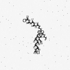 CCCCCOC(CCCC(C)CC(C)CC(C)CC(C)CC(C)Cl)OC(CCCC(C)CC(C)CC(C)CC(C)CC(C)Cl)OCCCCC